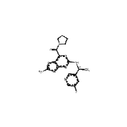 Cc1nc2nc(N[C@@H](C)c3cncc(F)c3)nc(C(=O)N3CCCC3)c2s1